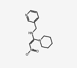 O=[N+]([O-])/C=C(/NCc1cccnc1)N1CCCCC1